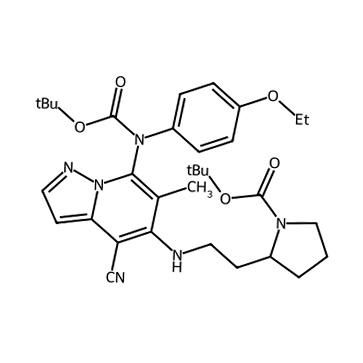 CCOc1ccc(N(C(=O)OC(C)(C)C)c2c(C)c(NCCC3CCCN3C(=O)OC(C)(C)C)c(C#N)c3ccnn23)cc1